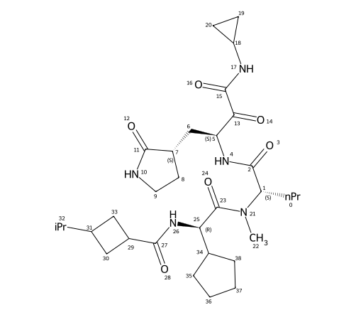 CCC[C@@H](C(=O)N[C@@H](C[C@@H]1CCNC1=O)C(=O)C(=O)NC1CC1)N(C)C(=O)[C@H](NC(=O)C1CC(C(C)C)C1)C1CCCC1